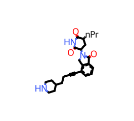 CCCC1CC(N2Cc3c(C#CCCC4CCNCC4)cccc3C2=O)C(=O)NC1=O